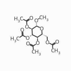 CO[C@@H]1O[C@H](COC(C)=O)[C@@H](OC(C)=O)[C@H](OC(C)=O)[C@H]1OC(C)=O